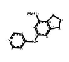 COc1cc(Nc2ccncc2)cc2c1CCC2